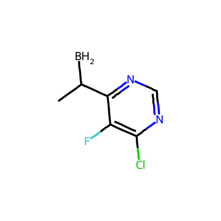 BC(C)c1ncnc(Cl)c1F